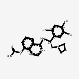 NC(=O)Oc1cccc2c(N[C@H](CN3CCC3)c3cc(F)c(F)cc3F)ncnc12